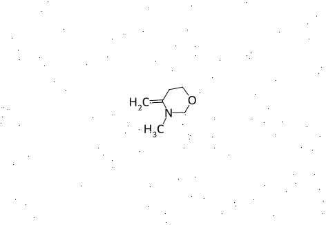 C=C1CCOCN1C